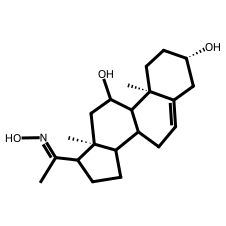 CC(=NO)C1CCC2C3CC=C4C[C@@H](O)CC[C@]4(C)C3C(O)C[C@]12C